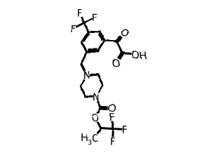 CC(OC(=O)N1CCN(Cc2cc(C(=O)C(=O)O)cc(C(F)(F)F)c2)CC1)C(F)(F)F